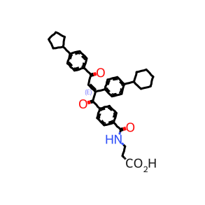 O=C(O)CCNC(=O)c1ccc(C(=O)/C(=C/C(=O)c2ccc(C3CCCC3)cc2)c2ccc(C3CCCCC3)cc2)cc1